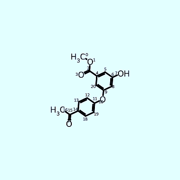 COC(=O)c1cc(O)cc(Oc2ccc(C(C)=O)cc2)c1